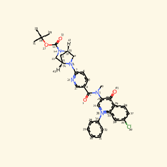 CN(C(=O)c1ccc(N2C[C@@H]3C[C@H]2CN3C(=O)OC(C)(C)C)nc1)c1cn(-c2ccccc2)c2cc(Cl)ccc2c1=O